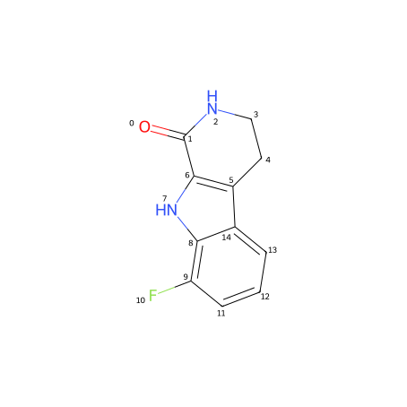 O=C1NCCc2c1[nH]c1c(F)cccc21